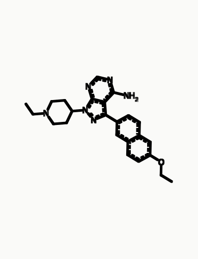 CCOc1ccc2cc(-c3nn(C4CCN(CC)CC4)c4ncnc(N)c34)ccc2c1